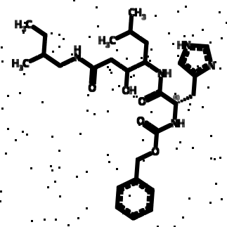 CCC(C)CNC(=O)CC(O)C(CC(C)C)NC(=O)[C@H](Cc1c[nH]cn1)NC(=O)OCc1ccccc1